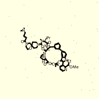 CCn1c(-c2cccnc2[C@H](C)OC)c2c3cc(ccc31)-c1cccc(c1)C[C@H](NC(=O)[C@H](C(C)C)N(C)C(=O)N1CCC3(CC1)CN(C(=O)/C=C/CN(C)C)CCO3)C(=O)N1CCC[C@H](N1)C(=O)OCC(C)(C)C2